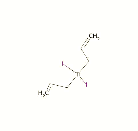 C=C[CH2][Ti]([I])([I])[CH2]C=C